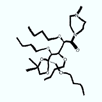 CCCCOC[C@]1([C@@H](OCCCC)[C@H](OCCCC)[C@@H](OCCCC)C(=O)N2CCN(C)CC2)OCC(C)(C)O1